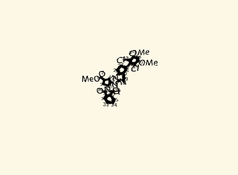 COC(=O)C1C[C@@H](Nc2ncc3cc(-c4c(Cl)c(OC)cc(OC)c4Cl)ccc3n2)[C@@H](N2C(=O)c3ccccc3C2=O)C1